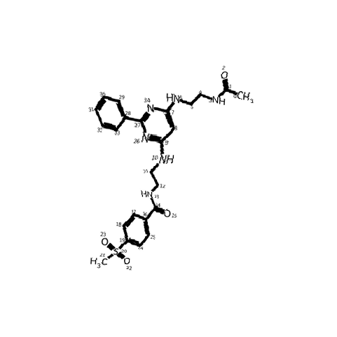 CC(=O)NCCNc1cc(NCCNC(=O)c2ccc(S(C)(=O)=O)cc2)nc(-c2ccccc2)n1